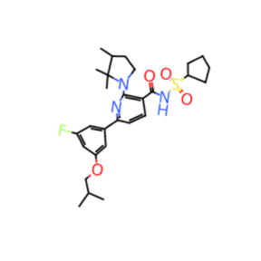 CC(C)COc1cc(F)cc(-c2ccc(C(=O)NS(=O)(=O)C3CCCC3)c(N3CCC(C)C3(C)C)n2)c1